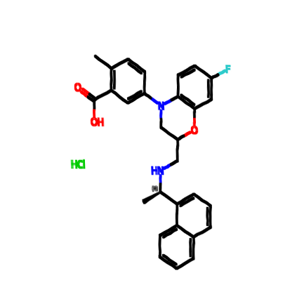 Cc1ccc(N2CC(CN[C@H](C)c3cccc4ccccc34)Oc3cc(F)ccc32)cc1C(=O)O.Cl